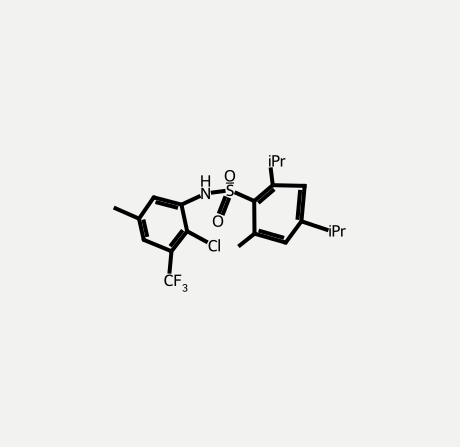 Cc1cc(NS(=O)(=O)c2c(C)cc(C(C)C)cc2C(C)C)c(Cl)c(C(F)(F)F)c1